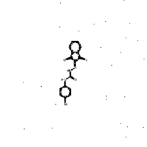 CCc1ccc(NC(=O)NN=c2c(=O)c3ccccc3c2=O)cc1